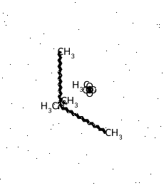 CCCCCCCCCCCCCCCCCC[N+](CC)(CC)CCCCCCCCCCCCCCCCCC.COS(=O)(=O)[O-]